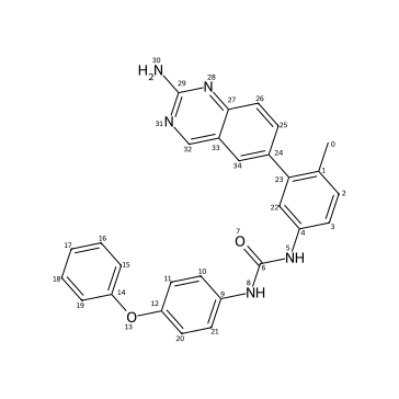 Cc1ccc(NC(=O)Nc2ccc(Oc3ccccc3)cc2)cc1-c1ccc2nc(N)ncc2c1